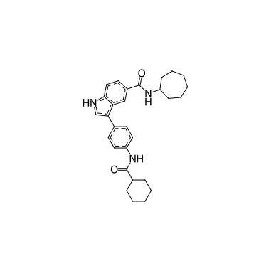 O=C(NC1CCCCCC1)c1ccc2[nH]cc(-c3ccc(NC(=O)C4CCCCC4)cc3)c2c1